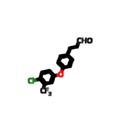 O=CCCc1ccc(Oc2ccc(Cl)c(C(F)(F)F)c2)cc1